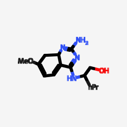 CCCC(CO)NC1=NC(N)=NC2CC(OC)=CC=C12